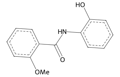 COc1ccccc1C(=O)Nc1ccccc1O